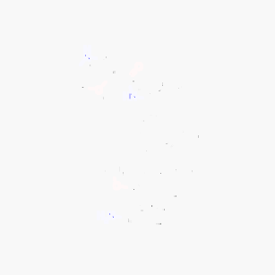 COc1cc(-c2cccc(-c3cccc(NC(=O)[C@H]4CNCCO4)c3C)c2C)cc(F)c1CN